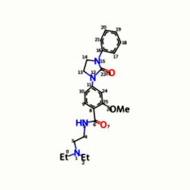 CCN(CC)CCNC(=O)c1ccc(N2CCN(c3ccccc3)C2=O)cc1OC